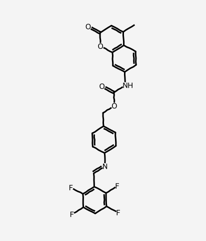 Cc1cc(=O)oc2cc(NC(=O)OCc3ccc(N=Cc4c(F)c(F)cc(F)c4F)cc3)ccc12